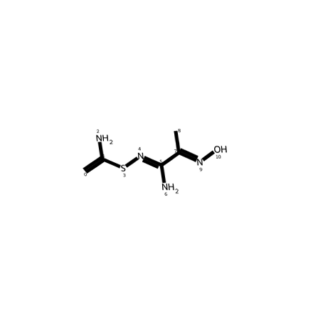 C=C(N)S/N=C(N)/C(C)=N/O